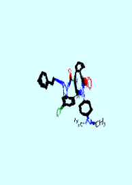 CN(C)[C@H]1CC[C@H](N2C(=O)c3ccccc3[C@@H](C(=O)NCCc3ccccc3)[C@@H]2c2ccc(Cl)cc2)CC1